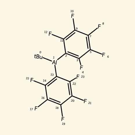 C[C](C)(C)[Al]([c]1c(F)c(F)c(F)c(F)c1F)[c]1c(F)c(F)c(F)c(F)c1F